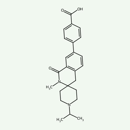 CC(C)N1CCC2(CC1)Cc1ccc(-c3ccc(C(=O)O)cc3)cc1C(=O)N2C